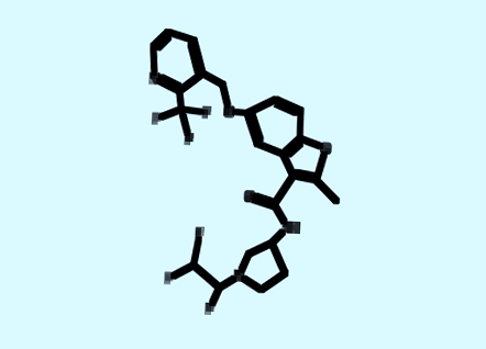 Cc1oc2ccc(OCc3cccnc3C(F)(F)F)cc2c1C(=O)NC1CCN(C(F)C(F)F)C1